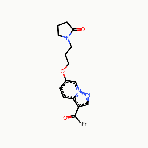 CC(C)C(=O)c1cnn2cc(OCCCN3CCCC3=O)ccc12